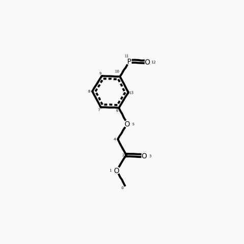 COC(=O)COc1cccc(P=O)c1